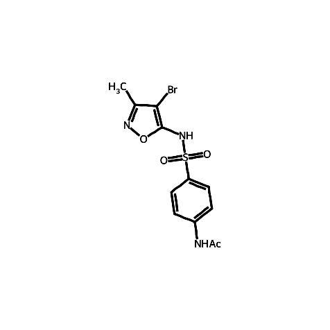 CC(=O)Nc1ccc(S(=O)(=O)Nc2onc(C)c2Br)cc1